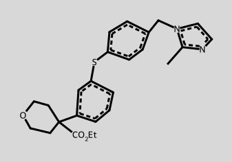 CCOC(=O)C1(c2cccc(Sc3ccc(Cn4ccnc4C)cc3)c2)CCOCC1